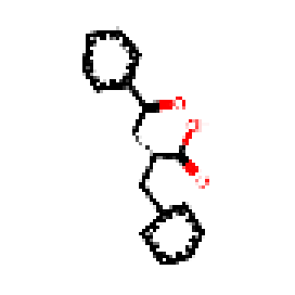 O=C(C[C@@H](Cc1ccccc1)C(=O)O)c1ccccc1